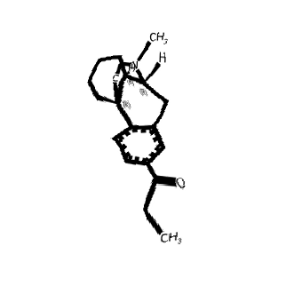 CCC(=O)c1ccc2c(c1)C[C@@H]1[C@@H]3CCCC[C@]23CCN1C